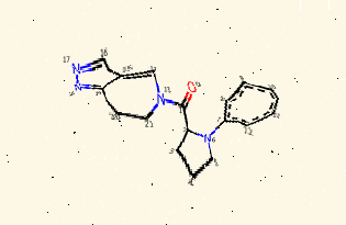 O=C(C1CCCN1c1ccccc1)N1C=C2C=NN=C2CC1